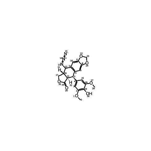 COc1cc([C@@H]2c3cc4c(cc3C(N=[N+]=[N-])[C@H]3COC(=O)[C@H]23)OCO4)cc(OC)c1O